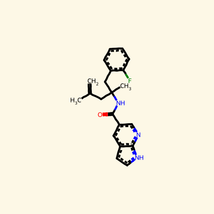 C=C(C)CC(C)(Cc1ccccc1F)NC(=O)c1cnc2[nH]ccc2c1